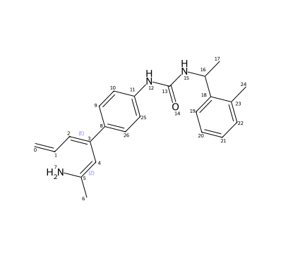 C=C/C=C(\C=C(\C)N)c1ccc(NC(=O)NC(C)c2ccccc2C)cc1